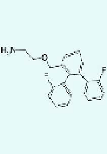 NCCOCc1cccc(-c2ccccc2F)c1-c1ccccc1F